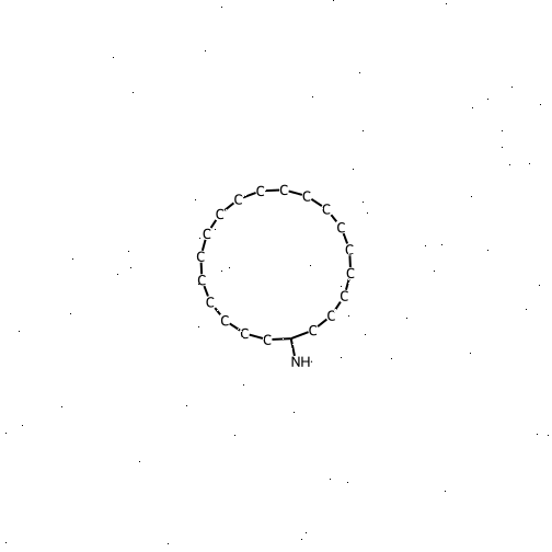 [NH]C1CCCCCCCCCCCCCCCCCCC1